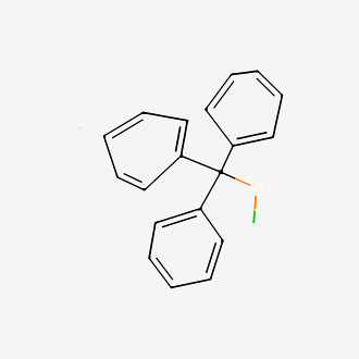 ClPC(c1ccccc1)(c1ccccc1)c1ccccc1.[Rh]